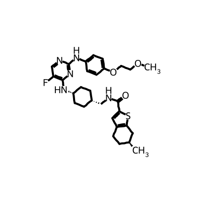 COCCOc1ccc(Nc2ncc(F)c(N[C@H]3CC[C@@H](CNC(=O)c4cc5c(s4)C[C@@H](C)CC5)CC3)n2)cc1